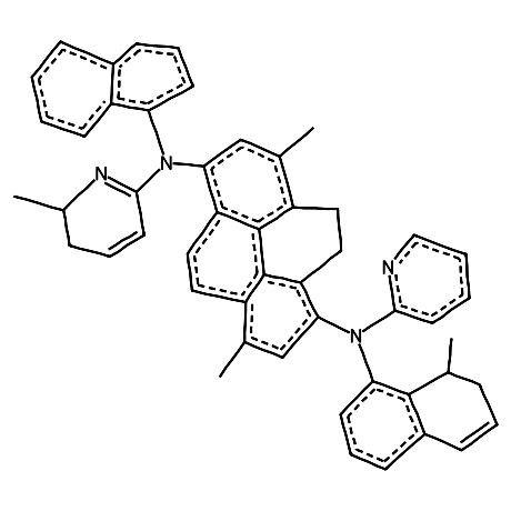 Cc1cc(N(C2=NC(C)CC=C2)c2cccc3ccccc23)c2ccc3c(C)cc(N(c4ccccn4)c4cccc5c4C(C)CC=C5)c4c3c2c1CC4